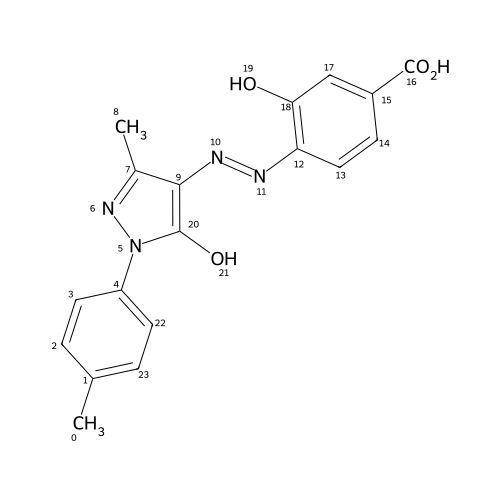 Cc1ccc(-n2nc(C)c(N=Nc3ccc(C(=O)O)cc3O)c2O)cc1